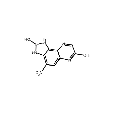 O=[N+]([O-])c1cc2nc(O)cnc2c2c1NN(O)N2